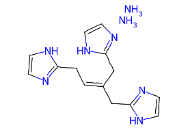 C(Cc1ncc[nH]1)=C(Cc1ncc[nH]1)Cc1ncc[nH]1.N.N